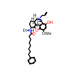 C=CCN1CC[C@]23c4c5c(O)cc(OC)c4O[C@H]2[C@H](N(CC)C(=O)CCCCCCCc2ccccc2)CC[C@H]3[C@H]1C5